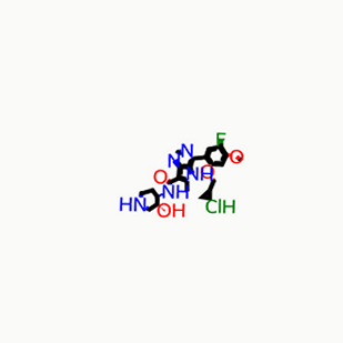 COc1cc(OCC2CC2)c(-c2ncnc3c(C(=O)N[C@@H]4CCNC[C@H]4O)c(C)[nH]c23)cc1F.Cl